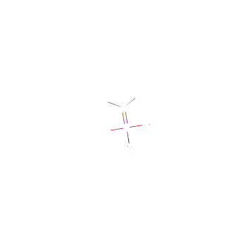 CS(C)=[P](O)(O)[Mo]